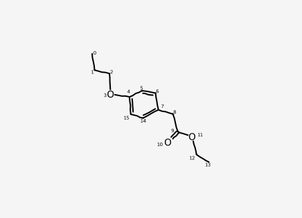 CCCOc1ccc(CC(=O)OCC)cc1